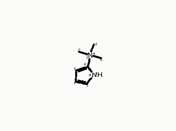 C[N+](C)(C)c1ccc[nH]1